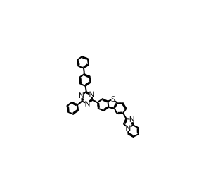 c1ccc(-c2ccc(-c3nc(-c4ccccc4)nc(-c4ccc5c(c4)sc4ccc(-c6cn7ccccc7n6)cc45)n3)cc2)cc1